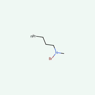 CCCCCCN(C)Br